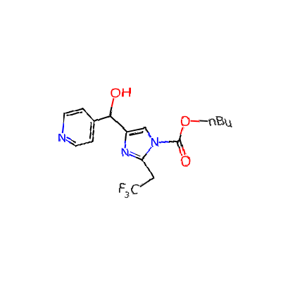 CCCCOC(=O)n1cc(C(O)c2ccncc2)nc1CC(F)(F)F